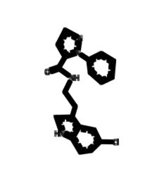 O=C(NCCc1c[nH]c2ccc(Cl)cc12)c1ccnn1-c1ccccc1